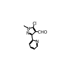 Cn1nc(-c2ccccn2)c(C=O)c1Cl